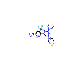 Nc1cc(C(F)(F)F)c(-c2cc(N3CCS(=O)(=O)CC3)nc(N3CCOCC3)n2)cn1